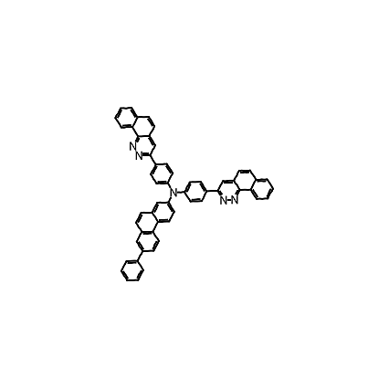 c1ccc(-c2ccc3c(ccc4cc(N(c5ccc(-c6cc7ccc8ccccc8c7nn6)cc5)c5ccc(-c6cc7ccc8ccccc8c7nn6)cc5)ccc43)c2)cc1